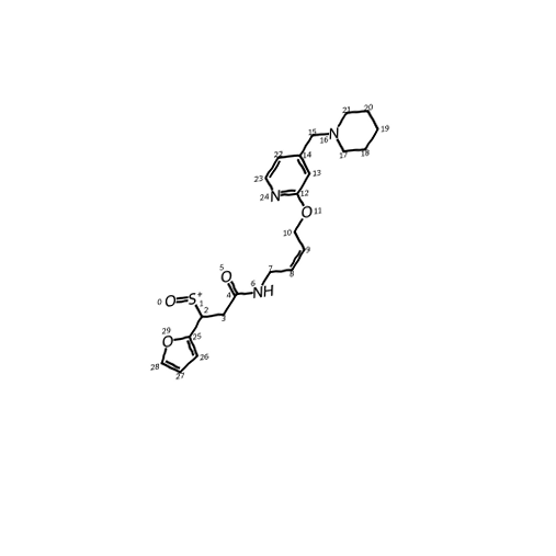 O=[S+]C(CC(=O)NC/C=C\COc1cc(CN2CCCCC2)ccn1)c1ccco1